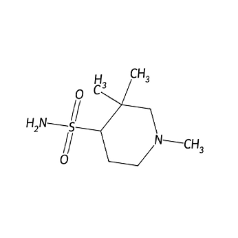 CN1CCC(S(N)(=O)=O)C(C)(C)C1